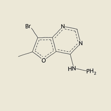 Cc1oc2c(NP)ncnc2c1Br